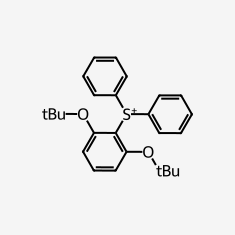 CC(C)(C)Oc1cccc(OC(C)(C)C)c1[S+](c1ccccc1)c1ccccc1